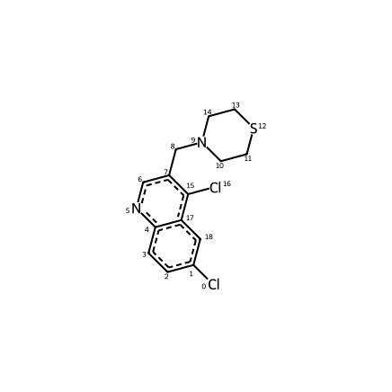 Clc1ccc2ncc(CN3CCSCC3)c(Cl)c2c1